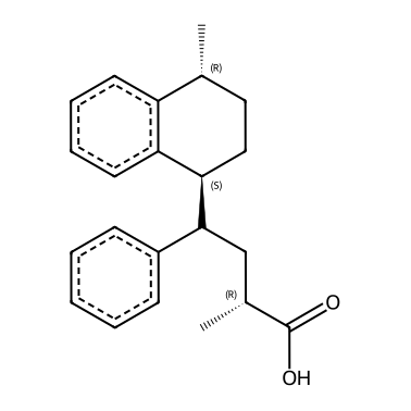 C[C@H](CC(c1ccccc1)[C@@H]1CC[C@@H](C)c2ccccc21)C(=O)O